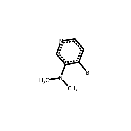 CN(C)c1cnccc1Br